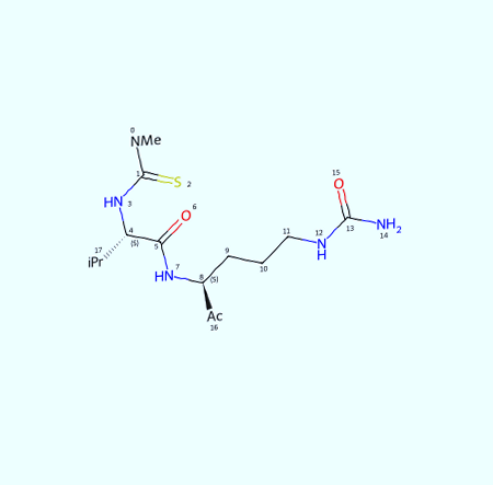 CNC(=S)N[C@H](C(=O)N[C@@H](CCCNC(N)=O)C(C)=O)C(C)C